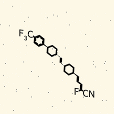 N#CC(F)=CC=C[C@H]1CC[C@H](C=C[C@H]2CC[C@H](c3ccc(C(F)(F)F)cc3)CC2)CC1